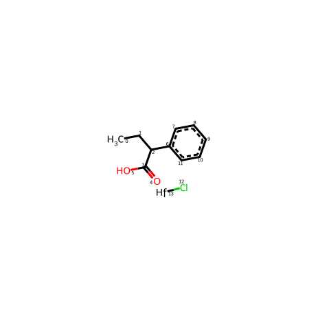 CCC(C(=O)O)c1ccccc1.[Cl][Hf]